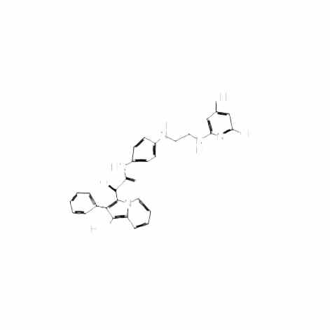 Cc1cc(C)nc(NCCNc2ccc(NC(=O)C(=O)c3c(-c4ccccc4)c(C)c4ccccn34)cc2)c1